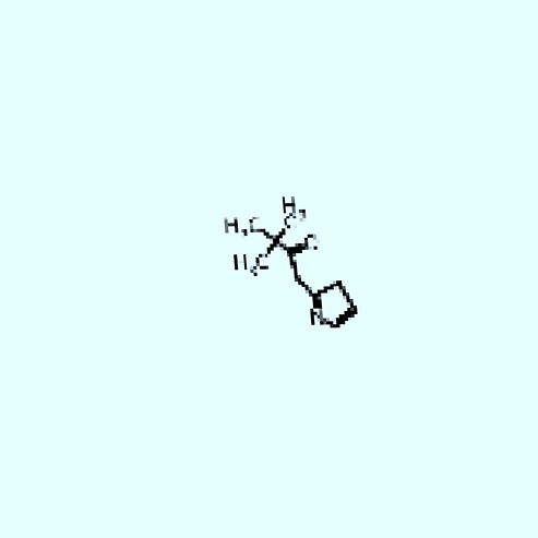 CC(C)(C)C(=O)CC1=NC=CC1